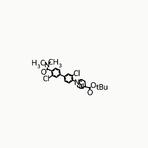 CN(C)C(=O)c1ccc(-c2ccc(N3CC4CCC3CN4C(=O)OC(C)(C)C)c(Cl)c2)cc1Cl